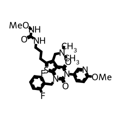 CONC(=O)NCCCc1sc2c(c1CN(C)C)c(=O)n(-c1ccc(OC)nc1)c(=O)n2Cc1c(F)cccc1F